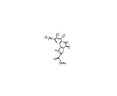 COCC(=O)N1Cc2c(c3cc([N+](=O)[O-])c(Cl)c(Cl)c3[nH]c2=O)[C@@H]1C